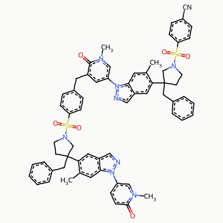 Cc1cc2c(cnn2-c2ccc(=O)n(C)c2)cc1C1(Cc2ccccc2)CCN(S(=O)(=O)c2ccc(Cc3cc(-n4ncc5cc(C6(Cc7ccccc7)CCN(S(=O)(=O)c7ccc(C#N)cc7)C6)c(C)cc54)cn(C)c3=O)cc2)C1